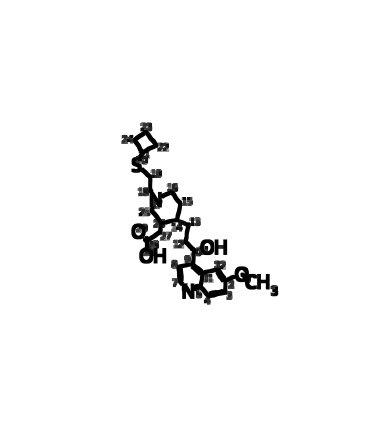 COc1ccc2nccc([C@@H](O)CC[C@@H]3CCN(CCSC4CCC4)C[C@@H]3CC(=O)O)c2c1